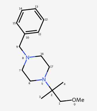 COCC(C)(C)N1CCN(Cc2ccccc2)CC1